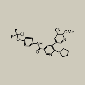 COc1ncc(-c2cc(C(=O)Nc3ccc(OC(F)(F)Cl)cc3)cnc2N2CCCC2)cc1C#N